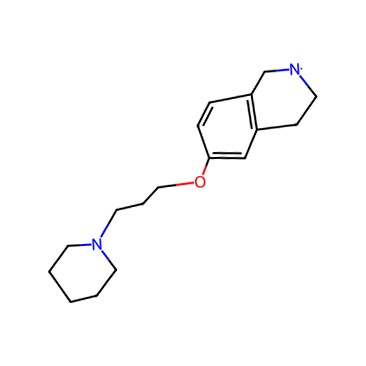 c1cc2c(cc1OCCCN1CCCCC1)CC[N]C2